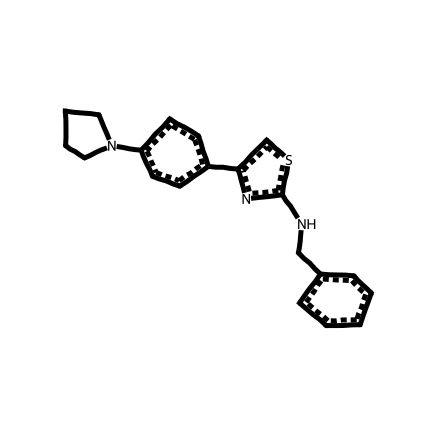 c1ccc(CNc2nc(-c3ccc(N4CCCC4)cc3)cs2)cc1